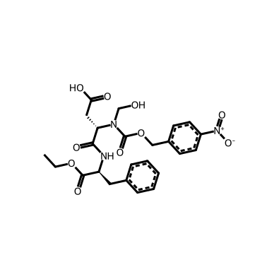 CCOC(=O)[C@H](Cc1ccccc1)NC(=O)[C@H](CC(=O)O)N(CO)C(=O)OCc1ccc([N+](=O)[O-])cc1